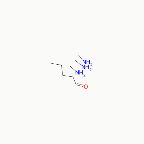 CCCCC=O.CN.CN.CN